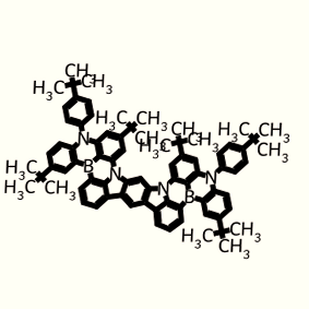 CC(C)(C)c1ccc(N2c3ccc(C(C)(C)C)cc3B3c4c2cc(C(C)(C)C)cc4-n2c4cc5c(cc4c4cccc3c42)c2cccc3c2n5-c2cc(C(C)(C)C)cc4c2B3c2cc(C(C)(C)C)ccc2N4c2ccc(C(C)(C)C)cc2)cc1